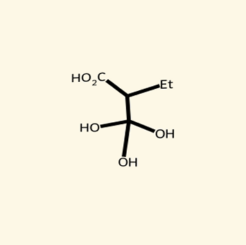 CCC(C(=O)O)C(O)(O)O